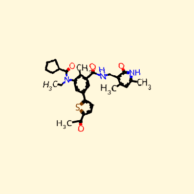 CCN(C(=O)C1CCCC1)c1cc(-c2ccc(C(C)=O)s2)cc(C(=O)NCc2c(C)cc(C)[nH]c2=O)c1C